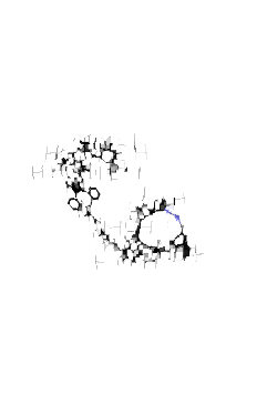 COc1cc2cc(c1Cl)N(C)C(=O)CC(OC(=O)C(C)N(C)C(=O)CCSCC(=O)NCCC(=O)N1Cc3ccccc3-c3c(nnn3CC(O)C(O)C3OC(OCC4OC(OC)C(O)C(O)C4O)(C(=O)O)CC(O)C3NC(C)=O)-c3ccccc31)C1(C)OC1C(C)C1CC(O)(NC(=O)O1)C(OC)/C=C/C=C(\C)C2